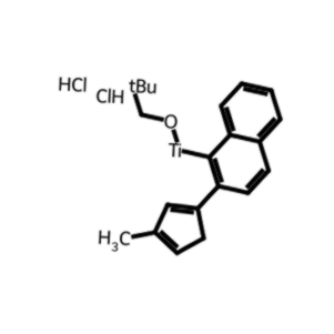 CC1=CCC(c2ccc3ccccc3[c]2[Ti][O]CC(C)(C)C)=C1.Cl.Cl